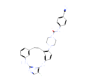 N#Cc1ccc(NC(=O)N2CCN(c3ccc4cc3CCc3cccc(c3)Nc3ncc(Cl)c(n3)N4)CC2)cc1